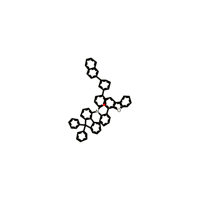 c1ccc(C2(c3ccccc3)c3ccccc3-c3c(N(c4ccc(-c5cccc(-c6ccc7ccccc7c6)c5)cc4)c4ccccc4-c4cccc5c4oc4ccccc45)cccc32)cc1